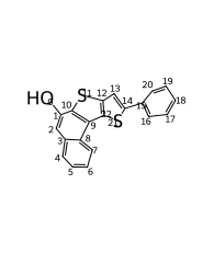 Oc1cc2ccccc2c2c1sc1cc(-c3ccccc3)sc12